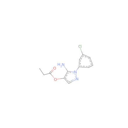 CCC(=O)Oc1cnn(-c2cccc(Cl)c2)c1N